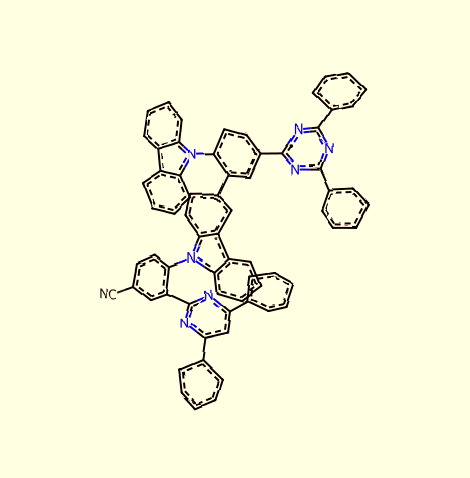 N#Cc1ccc(-n2c3ccccc3c3cc(-c4cc(-c5nc(-c6ccccc6)nc(-c6ccccc6)n5)ccc4-n4c5ccccc5c5ccccc54)ccc32)c(-c2nc(-c3ccccc3)cc(-c3ccccc3)n2)c1